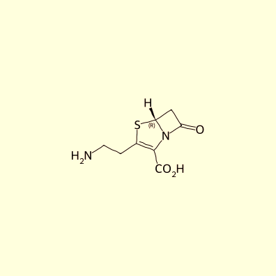 NCCC1=C(C(=O)O)N2C(=O)C[C@H]2S1